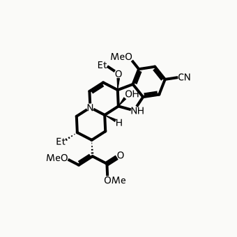 CCO[C@]12C=CN3C[C@@H](CC)[C@@H](/C(=C\OC)C(=O)OC)C[C@H]3[C@@]1(O)Nc1cc(C#N)cc(OC)c12